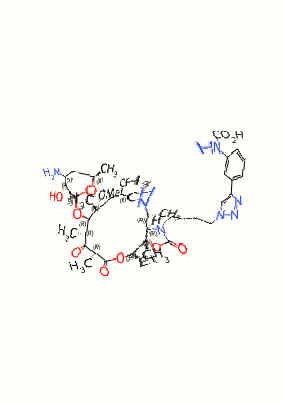 CC[C@H]1OC(=O)[C@H](C)C(=O)[C@H](C)[C@@H](O[C@@H]2O[C@H](C)C[C@H](N)[C@H]2O)[C@](C)(OC)C[C@@H](C)CN[C@H](C)[C@H]2N(CCCCn3cc(-c4cccc(NC(=O)O)c4)nn3)C(=O)O[C@]12C